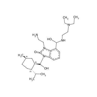 CCN(CC)CCNC(O)c1cccc2c1n(CCN)c(=O)n2C(O)[C@@H]1C[C@H](C)CC[C@H]1C(C)C